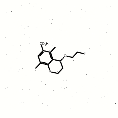 Cc1cc(C(=O)O)c(C)c2c1SCCC2OCCF